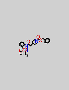 COC(=O)c1ccccc1NC(=O)CC1CCN(C(=O)OCc2ccccc2)CC1